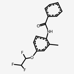 Cc1cc(OC(F)C(F)F)ccc1NC(=O)c1ccccc1